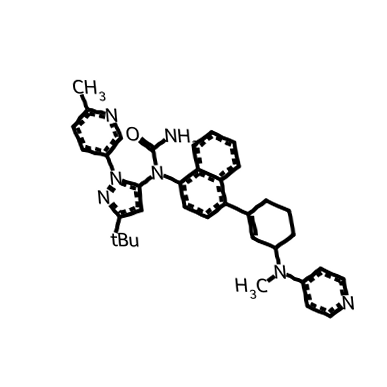 Cc1ccc(-n2nc(C(C)(C)C)cc2N(C(N)=O)c2ccc(C3=CC(N(C)c4ccncc4)CCC3)c3ccccc23)cn1